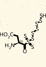 N[C@@H](CC(=O)O)C(=O)S(=S)(=S)SSSSSS